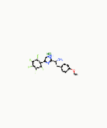 CCCCOc1ccc(CC(N)c2nc(-c3c(F)c(F)c(F)c(F)c3F)c[nH]2)cc1.Cl